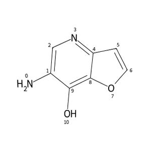 Nc1cnc2ccoc2c1O